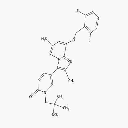 Cc1cc(OCc2c(F)cccc2F)c2nc(C)c(-c3ccc(=O)n(CC(C)(C)[N+](=O)[O-])c3)n2c1